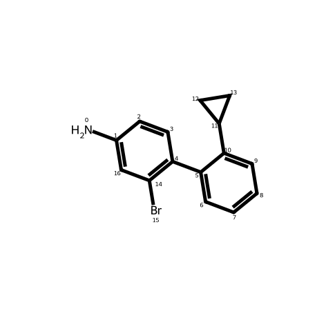 Nc1ccc(-c2ccccc2C2CC2)c(Br)c1